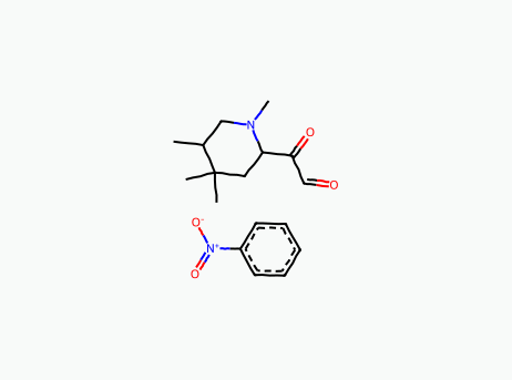 CC1CN(C)C(C(=O)C=O)CC1(C)C.O=[N+]([O-])c1ccccc1